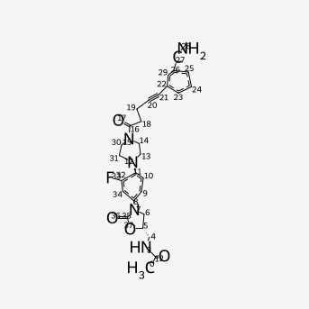 CC(=O)NC[C@H]1CN(c2ccc(N3CCN(C(=O)CCC#Cc4cccc(CN)c4)CC3)c(F)c2)C(=O)O1